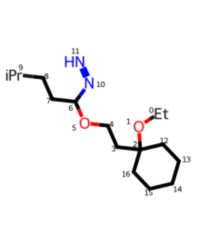 CCOC1(CCOC(CCC(C)C)N=N)CCCCC1